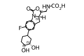 O=C(O)NC[C@@H]1OC(=O)N2c3cc(F)c(C4CC[C@@H](O)[C@@H](O)C4)cc3C[C@@H]12